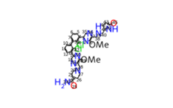 COc1nc(-c2cccc(-c3cccc(-c4cnc(CN5CCC(C(N)=O)CC5)c(OC)n4)c3Cl)c2Cl)cnc1CNCC1CCC(=O)N1